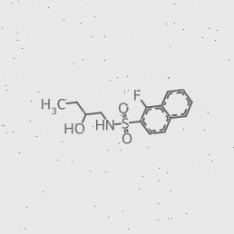 CCC(O)CNS(=O)(=O)c1ccc2ccccc2c1F